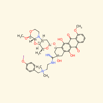 COc1cccc2c1C(=O)c1c(O)c3c(c(O)c1C2=O)C[C@@](O)(C(=N)NCC[N+](C)(C)Cc1ccc(OI)cc1)C[C@@H]3O[C@H]1C[C@H]2[C@H](O[C@@H]3[C@@H](OC)OCCN32)[C@H](C)O1